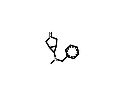 CN(Cc1ccccc1)C1C2CNCC21